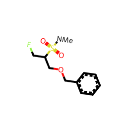 CNS(=O)(=O)C(CF)COCc1ccccc1